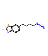 Cc1nc2ccc(CCCCN=[N+]=[N-])cc2s1